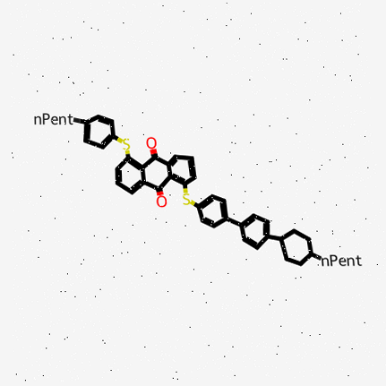 CCCCCc1ccc(Sc2cccc3c2C(=O)c2cccc(Sc4ccc(-c5ccc(C6CCC(CCCCC)CC6)cc5)cc4)c2C3=O)cc1